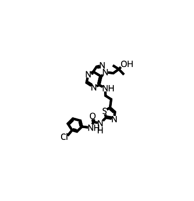 CC(C)(O)Cn1ncc2ncnc(NCCc3cnc(NC(=O)Nc4cccc(Cl)c4)s3)c21